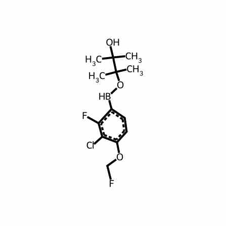 CC(C)(O)C(C)(C)OBc1ccc(OCF)c(Cl)c1F